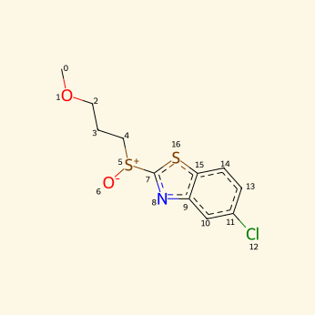 COCCC[S+]([O-])c1nc2cc(Cl)ccc2s1